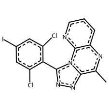 Cc1nc2cccnc2n2c(-c3c(Cl)cc(I)cc3Cl)nnc12